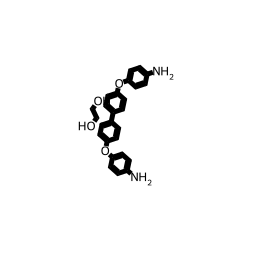 Nc1ccc(Oc2ccc(-c3ccc(Oc4ccc(N)cc4)cc3)cc2)cc1.OCCO